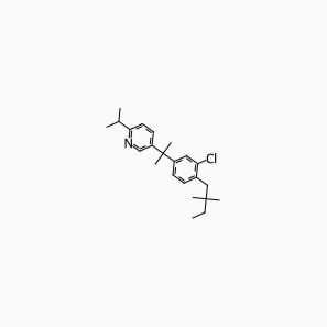 CCC(C)(C)Cc1ccc(C(C)(C)c2ccc(C(C)C)nc2)cc1Cl